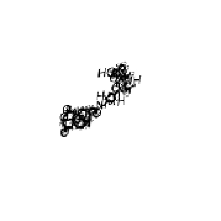 CC(C)[C@H](NC(=O)c1ccc(CNC(=O)CN2CCN3CCN4CCN(CC2)CC(=O)OC(CC(=O)C4)OC(=O)C3)cc1)C(=O)N[C@H](C)C(=O)N1CCC[C@H]1B(O)O